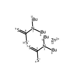 CCC(C)N(C(=S)[S-])C(C)CC.CCC(C)N(C(=S)[S-])C(C)CC.[Zn+2]